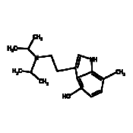 Cc1ccc(O)c2c(CCN(C(C)C)C(C)C)c[nH]c12